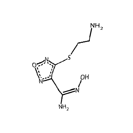 NCCSc1nonc1/C(N)=N\O